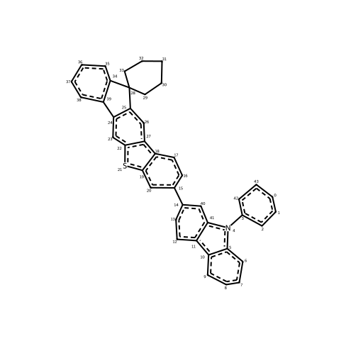 c1ccc(-n2c3ccccc3c3ccc(-c4ccc5c(c4)sc4cc6c(cc45)C4(CCCCC4)c4ccccc4-6)cc32)cc1